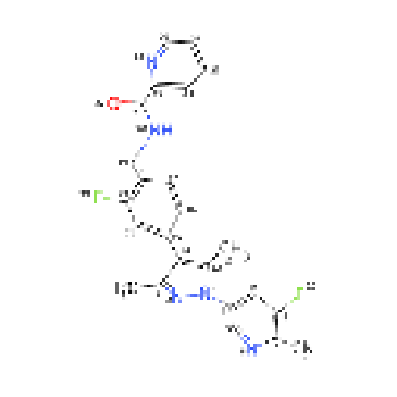 Cc1nn(-c2cnc(C#N)c(F)c2)c(C)c1-c1ccc(CNC(=O)c2ccccn2)c(F)c1